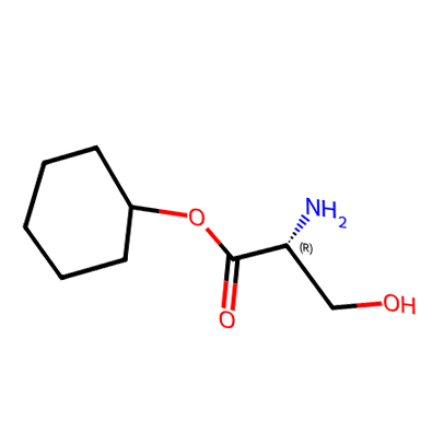 N[C@H](CO)C(=O)OC1CCCCC1